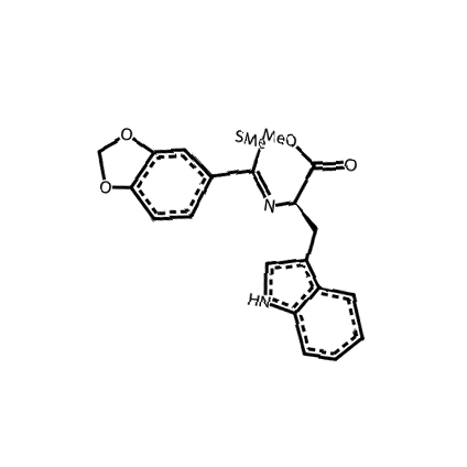 COC(=O)[C@@H](Cc1c[nH]c2ccccc12)/N=C(\SC)c1ccc2c(c1)OCO2